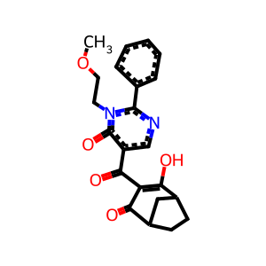 COCCn1c(-c2ccccc2)ncc(C(=O)C2=C(O)C3CCC(C3)C2=O)c1=O